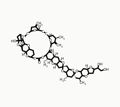 C=C1C2C[C@@H]3O[C@H]4C[C@H]5O[C@@]6(CC7O[C@]8(C[C@H](C)C9OC%10CC(C(O)CO)O[C@@H]%10CC9O8)C[C@H](C)C7O6)C[C@H]5O[C@H]4[C@H](C)C3OC(=O)CC3CCC4OC5C6OC7(O)C[C@](CCC8CC(=C)[C@H](CC[C@@H](C[C@H]1C)O2)O8)(OC6[C@H]4O3)OC57